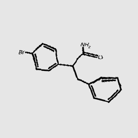 NC(=O)C(Cc1ccccc1)c1ccc(Br)cc1